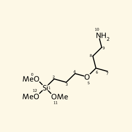 CO[Si](CCCOC(C)CCN)(OC)OC